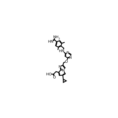 Cc1cc(C(=N)N)cc(C)c1CNc1cc(OCc2cn3cc(C4CC4)cc(CC(=O)O)c3n2)ncn1